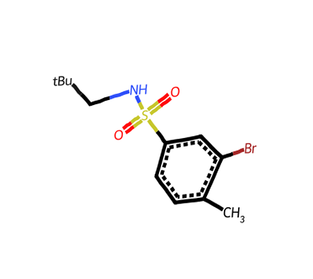 Cc1ccc(S(=O)(=O)NCC(C)(C)C)cc1Br